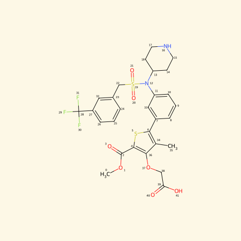 COC(=O)c1sc(-c2cccc(N(C3CCNCC3)S(=O)(=O)Cc3cccc(C(F)(F)F)c3)c2)c(C)c1OCC(=O)O